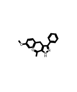 COc1ccc(Cc2c(-c3ccccc3)n[nH]c2C(C)=O)cc1